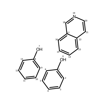 Oc1ccccc1.Oc1ccccc1.c1ccc2cnccc2c1